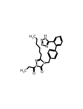 CCCCCCc1nn(C(=O)CC)c(=O)n1Cc1ccc(-c2ccccc2-c2nnn[nH]2)cc1